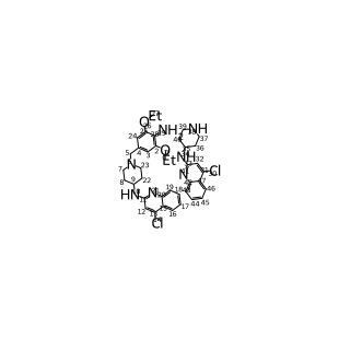 CCOc1cc(CN2CCC(Nc3cc(Cl)c4ccccc4n3)CC2)cc(OCC)c1N.Clc1cc(NC2CCNCC2)nc2ccccc12